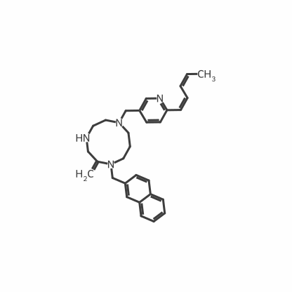 C=C1CNCCN(Cc2ccc(/C=C\C=C/C)nc2)CCCN1Cc1ccc2ccccc2c1